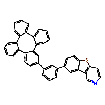 c1cc(-c2ccc3c(c2)-c2ccccc2-c2ccccc2-c2ccccc2-3)cc(-c2ccc3sc4ccncc4c3c2)c1